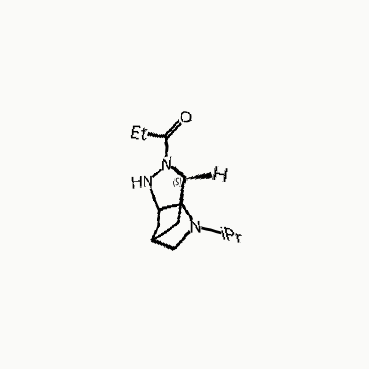 CCC(=O)N1NC2C3C[C@H]1C2N(C(C)C)C3